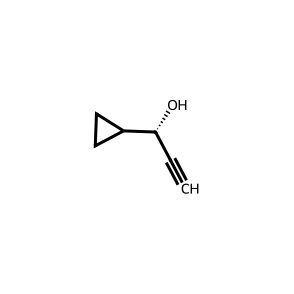 C#C[C@@H](O)C1CC1